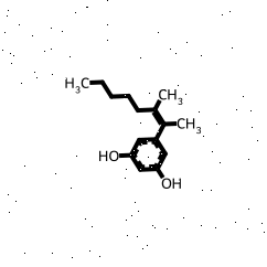 CCCCCC(C)=C(C)c1cc(O)cc(O)c1